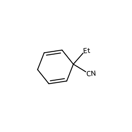 CCC1(C#N)C=CCC=C1